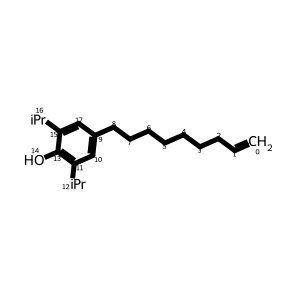 C=CCCCCCCCc1cc(C(C)C)c(O)c(C(C)C)c1